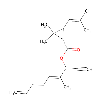 C#CC(OC(=O)C1C(C=C(C)C)C1(C)C)C(C)=CCCC=C